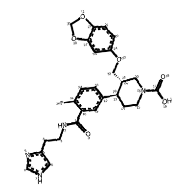 O=C(NCCc1c[nH]cn1)c1cc([C@@H]2CCN(C(=O)O)C[C@H]2COc2ccc3c(c2)OCO3)ccc1F